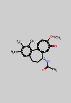 COc1ccc2c(cc1=O)[C@@H](NC(C)=O)CCc1cc(C)c(C)c(C)c1-2